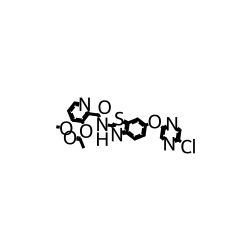 COc1ccnc(C(=O)Nc2nc3ccc(Oc4cnc(Cl)cn4)cc3s2)c1OC(C)=O